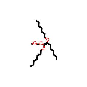 CCCCCCCOC(CCCCCC)=C(OCCCCCCC)OCOC